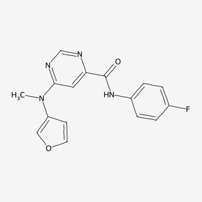 CN(c1ccoc1)c1cc(C(=O)Nc2ccc(F)cc2)ncn1